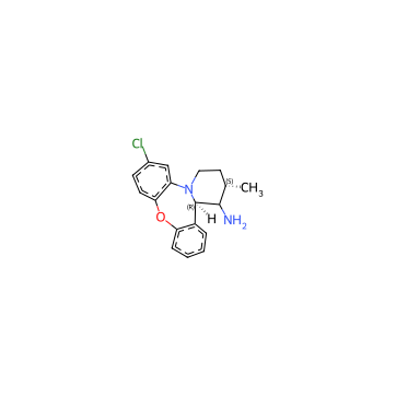 C[C@H]1CCN2c3cc(Cl)ccc3Oc3ccccc3[C@@H]2C1N